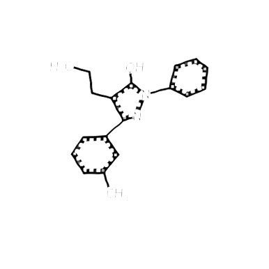 CCCc1c(-c2cccc(C)c2)nn(-c2ccccc2)c1O